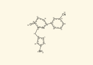 Bc1csc(Cn2nc(-c3cccc(C#N)c3)ccc2=O)c1